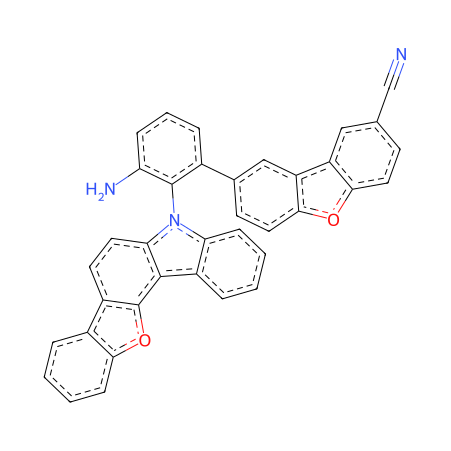 N#Cc1ccc2oc3ccc(-c4cccc(N)c4-n4c5ccccc5c5c6oc7ccccc7c6ccc54)cc3c2c1